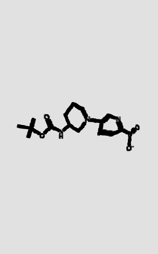 CC(C)(C)OC(=O)NC1CCCN(c2ccc([N+](=O)[O-])nc2)C1